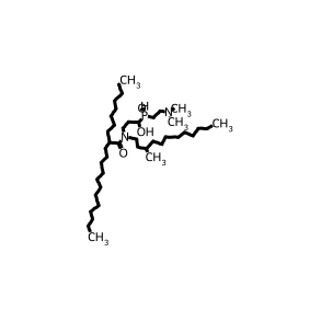 CCCCCCCCCCCCC(CCCCCCCC)C(=O)N(CCC(C)CCCCCCCCC)CCC(O)[PH](=O)CCN(C)C